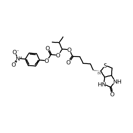 CC(C)C(OC(=O)CCCC[C@@H]1SCC2NC(=O)NC21)OC(=O)Oc1ccc([N+](=O)[O-])cc1